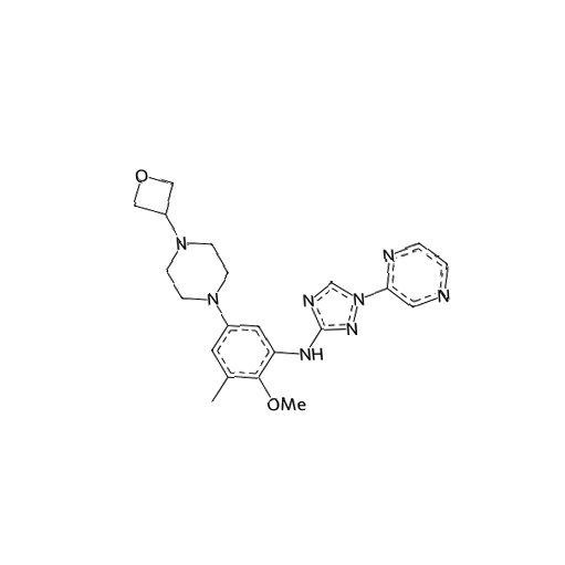 COc1c(C)cc(N2CCN(C3COC3)CC2)cc1Nc1ncn(-c2cnccn2)n1